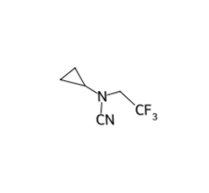 N#CN(CC(F)(F)F)C1CC1